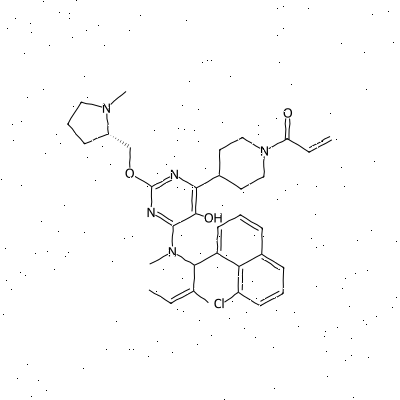 C=CC(=O)N1CCC(c2nc(OC[C@@H]3CCCN3C)nc(N(C)C(/C(C)=C\C)c3cccc4cccc(Cl)c34)c2O)CC1